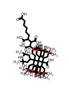 CC1(C)CC(C(CCC(C(=O)O)C(C(=O)O)C(C(=O)O)C(CCCCCC(=O)O)C(=O)O)(C2CC(C)(C)NC(C)(C)C2)C(C2CC(C)(C)NC(C)(C)C2)(C2CC(C)(C)NC(C)(C)C2)C(C(=O)O)(C2CC(C)(C)NC(C)(C)C2)C2CC(C)(C)NC(C)(C)C2)CC(C)(C)N1